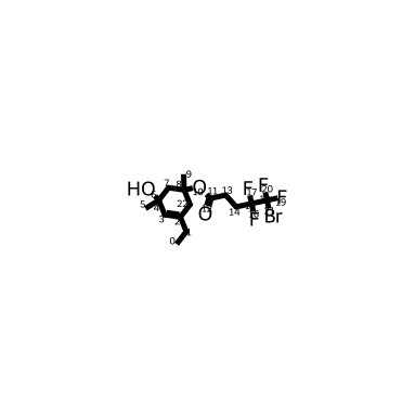 CCC1=CC(C)(O)CC(C)(OC(=O)CCC(F)(F)C(F)(F)Br)C1